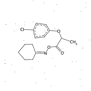 CC(Oc1ccc(Cl)cc1)C(=O)ON=C1CCCCC1